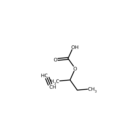 C#C.CCC(C)OC(=O)O